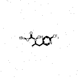 CC(Cc1ccc(C(F)(F)F)nc1)N(O)C(=O)OC(C)(C)C